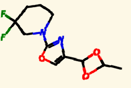 CC1OC(c2coc(N3CCCC(F)(F)C3)n2)O1